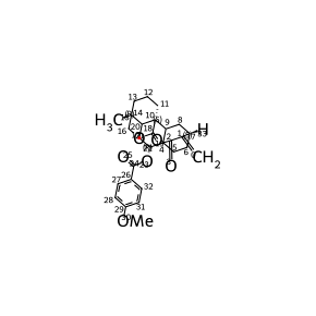 C=C1C(=O)C23CC[C@H]1CC2[C@@]12CCC[C@@](C)(COC1=O)C2C[C@H]3OC(=O)c1ccc(OC)cc1